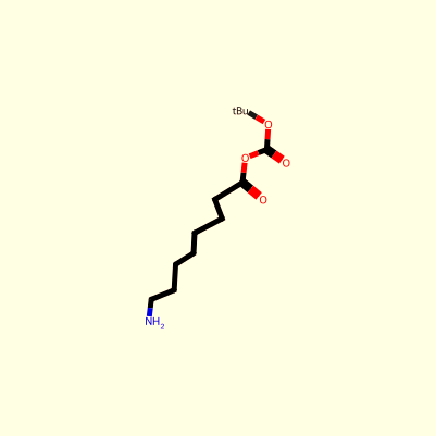 CC(C)(C)OC(=O)OC(=O)CCCCCCCN